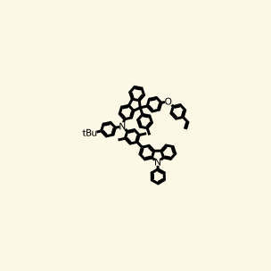 C=Cc1ccc(Oc2ccc(C3(c4ccc(C)cc4)c4ccccc4-c4ccc(N(c5ccc(C(C)(C)C)cc5)c5cc(C)c(-c6ccc7c(c6)c6ccccc6n7-c6ccccc6)cc5C)cc43)cc2)cc1